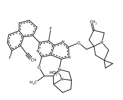 C#Cc1c(F)ccc2cccc(-c3nc4c5c(nc(OCC67CC(=C)CN6CC6(CC6)C7)nc5c3F)N3CC5CCC(C3C(C)O4)N5C(=O)O)c12